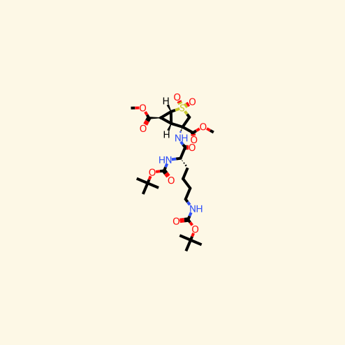 COC(=O)[C@@H]1[C@@H]2[C@H]1S(=O)(=O)C[C@@]2(NC(=O)[C@H](CCCCNC(=O)OC(C)(C)C)NC(=O)OC(C)(C)C)C(=O)OC